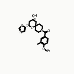 Cc1cc(C(=O)N2CCC3(CC2)C[C@@H](O)C[C@@H](c2cncs2)O3)ccc1OC(C)C